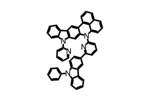 c1ccc(-n2c3ccccc3c3cc(-c4cccc(N5c6cc7c(cc6-c6cccc8cccc5c68)c5ccccc5n7-c5ccccn5)n4)ccc32)cc1